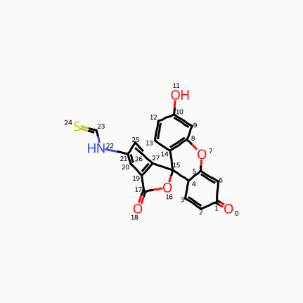 O=C1C=CC2C(=C1)Oc1cc(O)ccc1C21OC(=O)c2cc(NC=S)ccc21